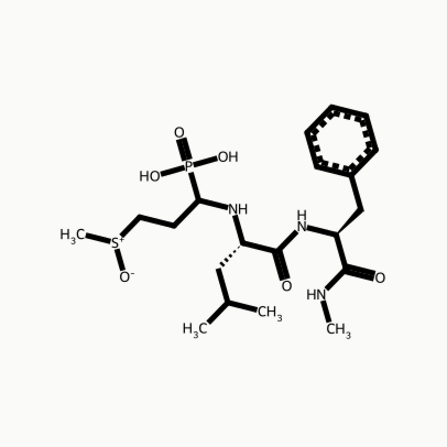 CNC(=O)[C@H](Cc1ccccc1)NC(=O)[C@H](CC(C)C)NC(CC[S+](C)[O-])P(=O)(O)O